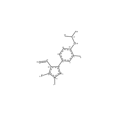 Cc1cc(-c2nn(C)c(F)c2C=O)ccc1OC(C)C